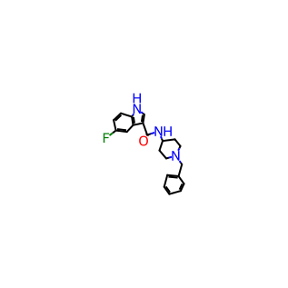 O=C(NC1CCN(Cc2ccccc2)CC1)c1c[nH]c2ccc(F)cc12